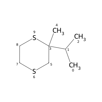 CC(C)C1(C)CSCCS1